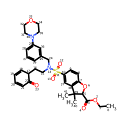 CCOC(=O)C1Oc2ccc(S(=O)(=O)N(CCC3C=CC=CC3=O)Cc3cccc(N4CCOCC4)c3)cc2C1(C)C